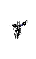 CC(C)[C@H](NC(=O)[C@@H](NC(=O)/C=C/c1ccc(Cl)cc1)c1ccc(Cl)cc1)C(=O)C(F)(F)C(=O)NCC(F)(F)F